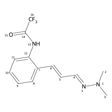 CN(C)N=CC=Cc1ccccc1NC(=O)C(F)(F)F